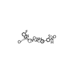 COCCCn1c([C@@H]2CCCN(C(=O)C[C@H](N)Cc3ccc(-c4ccc5c(c4)SCC(=O)N5)cc3)C2)nc2c(F)cccc21